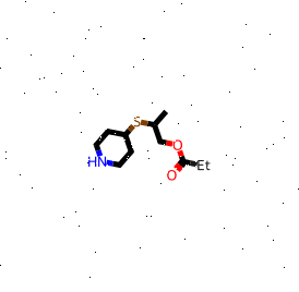 CCC(=O)OCC(C)SC1CCNCC1